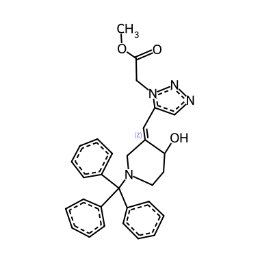 COC(=O)Cn1nncc1/C=C1/CN(C(c2ccccc2)(c2ccccc2)c2ccccc2)CCC1O